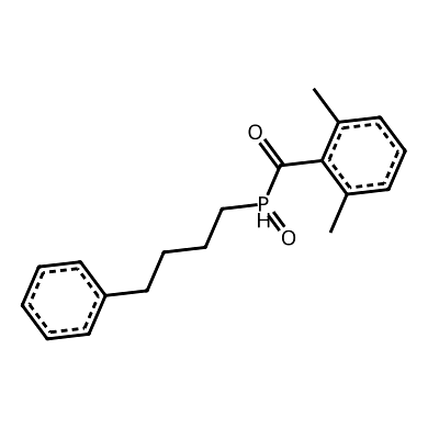 Cc1cccc(C)c1C(=O)[PH](=O)CCCCc1ccccc1